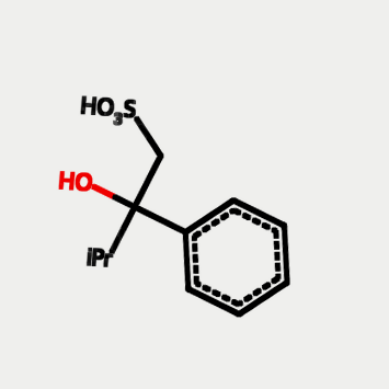 CC(C)C(O)(CS(=O)(=O)O)c1ccccc1